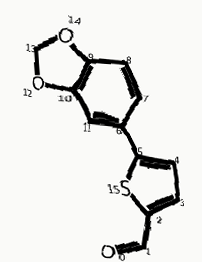 O=Cc1ccc(-c2ccc3c(c2)OCO3)s1